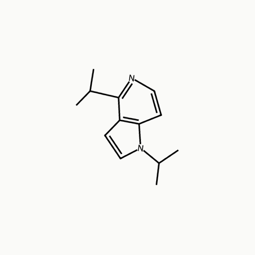 CC(C)c1nccc2c1ccn2C(C)C